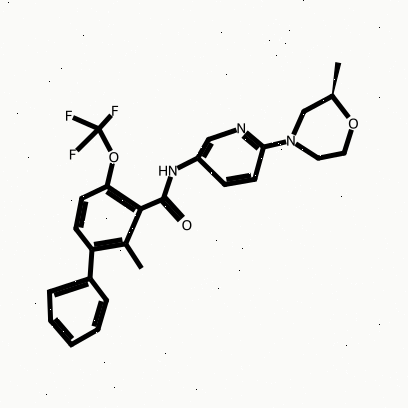 Cc1c(-c2ccccc2)ccc(OC(F)(F)F)c1C(=O)Nc1ccc(N2CCO[C@H](C)C2)nc1